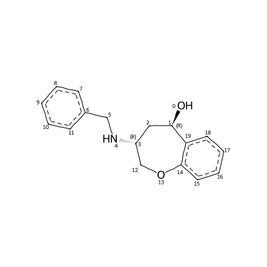 O[C@@H]1C[C@@H](NCc2ccccc2)COc2ccccc21